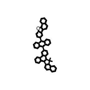 CC1(C)c2c(ccc3ccccc23)-c2c1c1ccc(-c3c4ccccc4c(-c4ccc5oc6c7ccccc7ccc6c5c4)c4ccccc34)cc1c1ccccc21